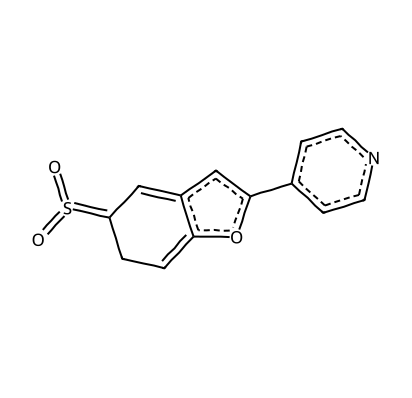 O=S(=O)=C1C=c2cc(-c3ccncc3)oc2=CC1